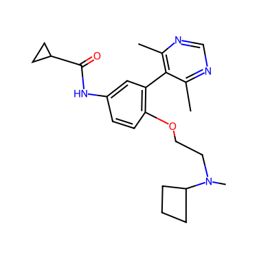 Cc1ncnc(C)c1-c1cc(NC(=O)C2CC2)ccc1OCCN(C)C1CCC1